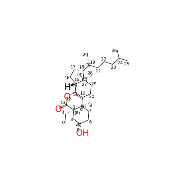 CC[C@@]12C[C@@H](O)CC[C@]1(C)C1=C(OC2=O)[C@@H]2CC[C@H]([C@H](C)CCCC(C)C)[C@@]2(C)CC1